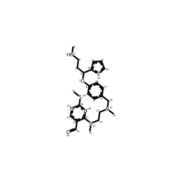 CNCCC(Oc1ccc(CN(C)CCN(C)c2nc(SC)ncc2C=O)cc1)c1cccs1